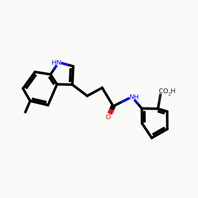 Cc1ccc2[nH]cc(CCC(=O)Nc3ccccc3C(=O)O)c2c1